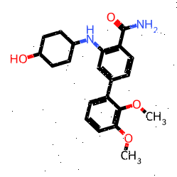 COc1cccc(-c2ccc(C(N)=O)c(NC3CCC(O)CC3)c2)c1OC